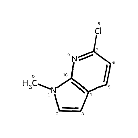 Cn1ccc2ccc(Cl)nc21